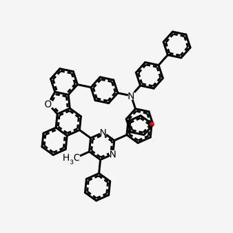 Cc1c(-c2ccccc2)nc(-c2ccccc2)nc1-c1cc2c(oc3cccc(-c4ccc(N(c5ccccc5)c5ccc(-c6ccccc6)cc5)cc4)c32)c2ccccc12